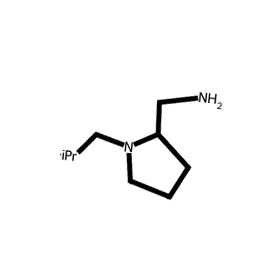 C[C](C)CN1CCCC1CN